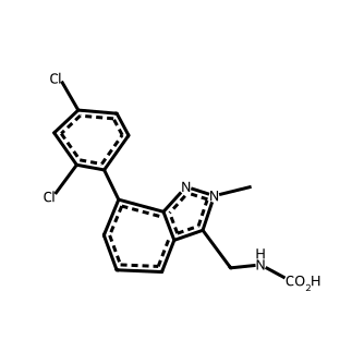 Cn1nc2c(-c3ccc(Cl)cc3Cl)cccc2c1CNC(=O)O